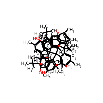 Cc1cc(C(C)(C)C)c(C(C)(c2cc(C(C)(C)C)c(O)cc2C)C(c2c(C(C)(C)C)cc(C)cc2C(C)(C)C)(c2c(C(C)(C)C)cc(C)cc2C(C)(C)C)C(c2cc(C(C)(C)C)c(O)cc2C)(c2cc(C(C)(C)C)c(O)cc2C)c2c(C(C)(C)C)cc(C)cc2C(C)(C)C)c(C(C)(C)C)c1